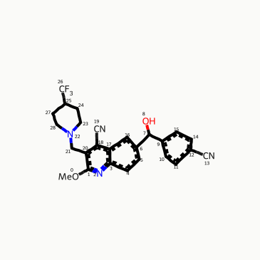 COc1nc2ccc(C(O)c3ccc(C#N)cc3)cc2c(C#N)c1CN1CCC(C(F)(F)F)CC1